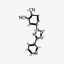 N#Cc1ccc(-n2nnc(-c3cccnc3)n2)cc1C#N